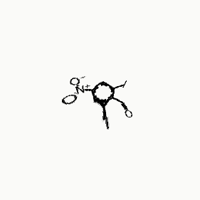 O=Cc1c(I)cc([N+](=O)[O-])cc1I